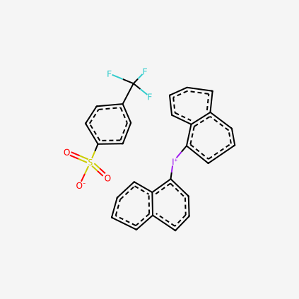 O=S(=O)([O-])c1ccc(C(F)(F)F)cc1.c1ccc2c([I+]c3cccc4ccccc34)cccc2c1